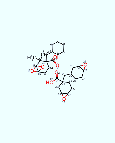 CC1(C)C(CC2CCCCC2)(C(=O)O)CCC23OC21O3.O=C(O)C1(CC2CCC3OC3C2)CCC2OC2C1